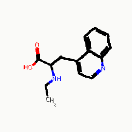 CCNC(Cc1ccnc2ccccc12)C(=O)O